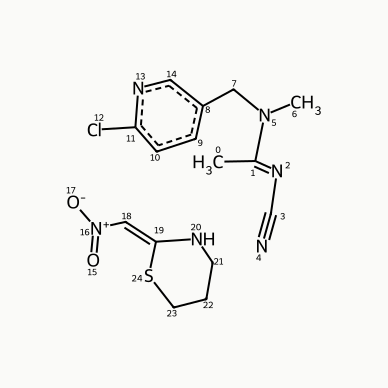 C/C(=N\C#N)N(C)Cc1ccc(Cl)nc1.O=[N+]([O-])/C=C1/NCCCS1